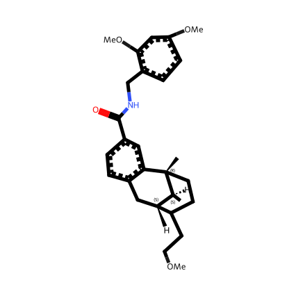 COCCC1CC[C@@]2(C)c3cc(C(=O)NCc4ccc(OC)cc4OC)ccc3C[C@@H]1[C@@H]2C